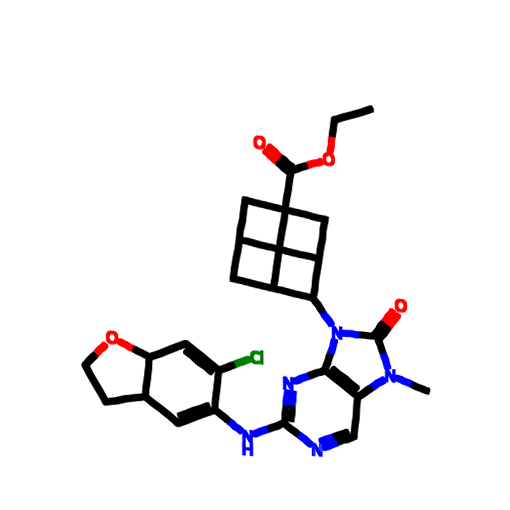 CCOC(=O)C12CC3CC4C(n5c(=O)n(C)c6cnc(NC7=CC8CCOC8C=C7Cl)nc65)C(C1)C342